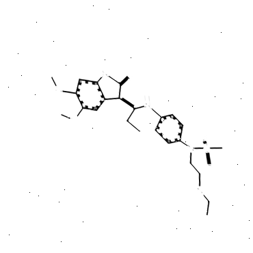 CCNCCN(c1ccc(N/C(CC)=C2\C(=O)Nc3cc(OC)c(OC)cc32)cc1)S(C)(=O)=O